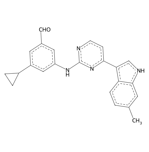 Cc1ccc2c(-c3ccnc(Nc4cc(C=O)cc(C5CC5)c4)n3)c[nH]c2c1